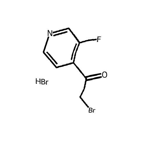 Br.O=C(CBr)c1ccncc1F